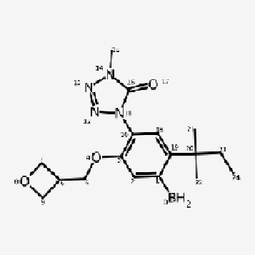 Bc1cc(OCC2COC2)c(-n2nnn(C)c2=O)cc1C(C)(C)CC